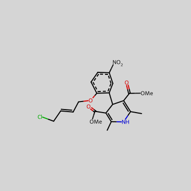 COC(=O)C1=C(C)NC(C)=C(C(=O)OC)C1c1cc([N+](=O)[O-])ccc1OC/C=C/CCl